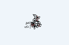 C[C@H](CSSC[C@@H](C)C(=O)N1C(c2cccc(OC(=O)c3ccccc3)c2)SC[C@H]1C(=O)O)C(=O)N1C(c2cccc(OC(=O)c3ccccc3)c2)SC[C@H]1C(=O)O